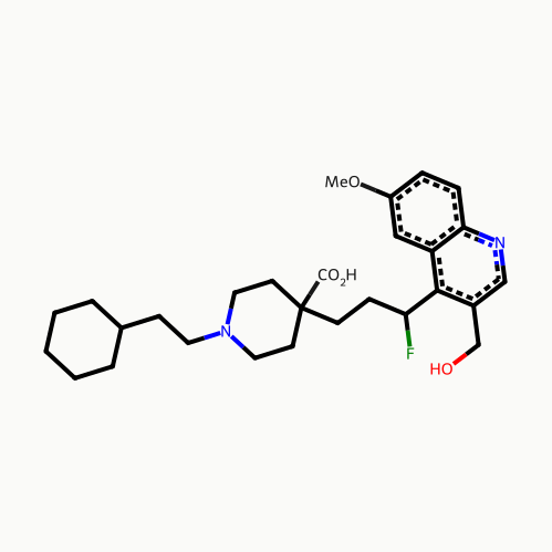 COc1ccc2ncc(CO)c(C(F)CCC3(C(=O)O)CCN(CCC4CCCCC4)CC3)c2c1